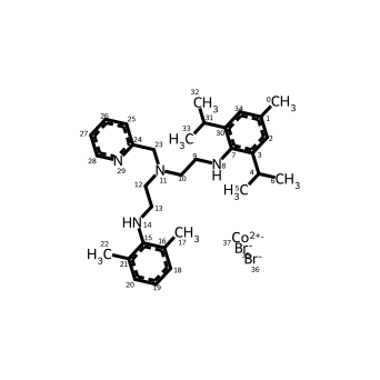 Cc1cc(C(C)C)c(NCCN(CCNc2c(C)cccc2C)Cc2ccccn2)c(C(C)C)c1.[Br-].[Br-].[Co+2]